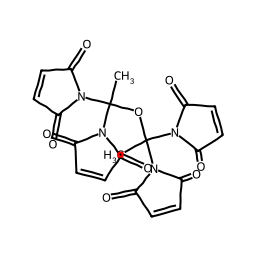 CC(OC(C)(N1C(=O)C=CC1=O)N1C(=O)C=CC1=O)(N1C(=O)C=CC1=O)N1C(=O)C=CC1=O